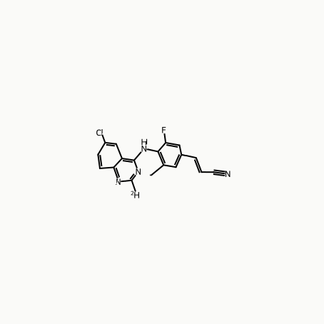 [2H]c1nc(Nc2c(C)cc(C=CC#N)cc2F)c2cc(Cl)ccc2n1